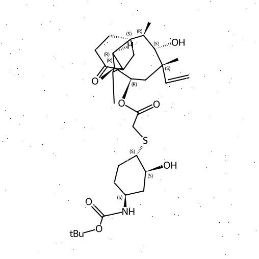 C=C[C@]1(C)C[C@@H](OC(=O)CS[C@H]2CC[C@H](NC(=O)OC(C)(C)C)C[C@@H]2O)[C@]2(C)C(C)CC34C[C@@](CCC3=O)([C@@H]42)[C@@H](C)[C@@H]1O